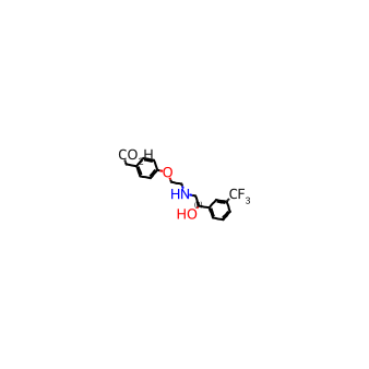 O=C(O)Cc1ccc(OCCNC[C@H](O)c2cccc(C(F)(F)F)c2)cc1